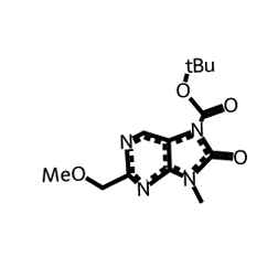 COCc1ncc2c(n1)n(C)c(=O)n2C(=O)OC(C)(C)C